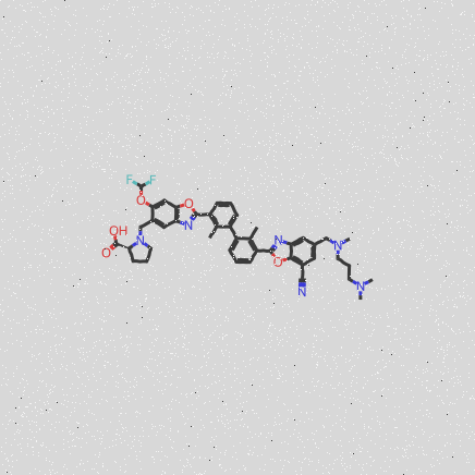 Cc1c(-c2nc3cc(CN4CCC[C@H]4C(=O)O)c(OC(F)F)cc3o2)cccc1-c1cccc(-c2nc3cc(CN(C)CCCN(C)C)cc(C#N)c3o2)c1C